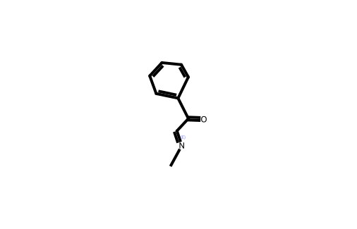 C/N=C/C(=O)c1ccccc1